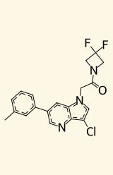 Cc1cccc(-c2cnc3c(Cl)cn(CC(=O)N4CC(F)(F)C4)c3c2)c1